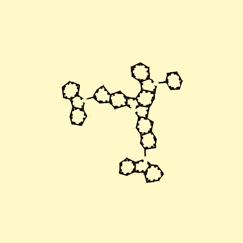 c1ccc(-n2c3ccccc3c3c4c5cc6ccc(-n7c8ccccc8c8ccccc87)cc6cc5n5c6cc7cc(-n8c9ccccc9c9ccccc98)ccc7cc6c(cc32)c45)cc1